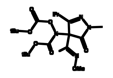 CON=C(C)C1(N(OC(=O)OC(C)(C)C)C(=O)OC(C)(C)C)C(=O)N(C)N=C1C(C)C